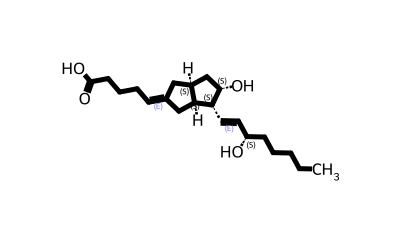 CCCCC[C@H](O)/C=C/[C@@H]1[C@H]2C/C(=C/CCCC(=O)O)C[C@H]2C[C@@H]1O